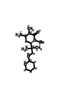 CN(C(=O)OC(C)(C)C)C(N)CCC(C)(C)COC1CCCCO1